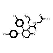 CCC[C@H](C(=O)NCC(=O)O)N1C(=O)CO[C@@H](c2ccc(Cl)cc2)[C@H]1c1ccc(Cl)cc1